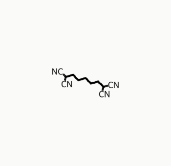 N#CC(C#N)CCCCCC(C#N)C#N